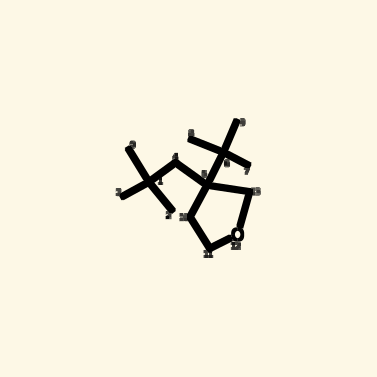 CC(C)(C)CC1(C(C)(C)C)CCOC1